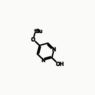 CC(C)(C)Oc1cnc(O)nc1